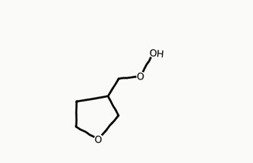 OOCC1CCOC1